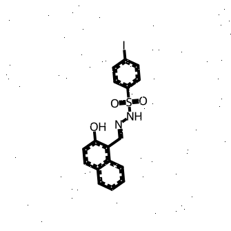 O=S(=O)(N/N=C/c1c(O)ccc2ccccc12)c1ccc(I)cc1